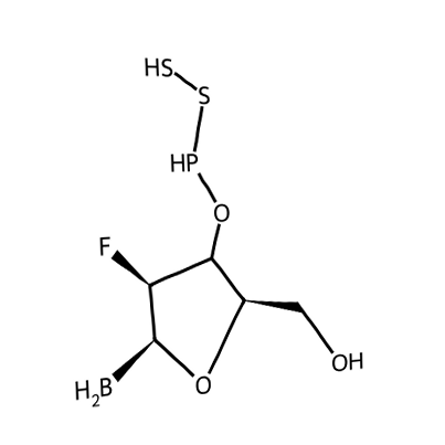 B[C@@H]1O[C@H](CO)C(OPSS)[C@@H]1F